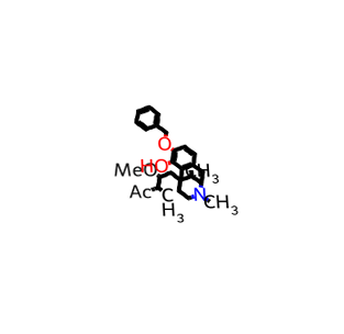 COC(CC12CCN(C)C(Cc3ccc(OCc4ccccc4)c(O)c31)C2C)C(C)C(C)=O